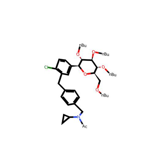 CCCCOC[C@H]1O[C@@H](c2ccc(Cl)c(Cc3ccc(CN(C(C)=O)C4CC4)cc3)c2)[C@H](OCCCC)[C@@H](OCCCC)[C@@H]1OCCCC